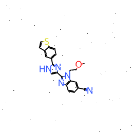 COCCn1c(-c2c[nH]c(-c3ccc4sccc4c3)n2)nc2ccc(C#N)cc21